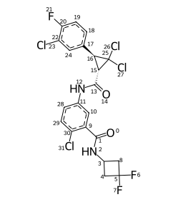 O=C(NC1CC(F)(F)C1)c1cc(NC(=O)[C@@H]2[C@@H](c3ccc(F)c(Cl)c3)C2(Cl)Cl)ccc1Cl